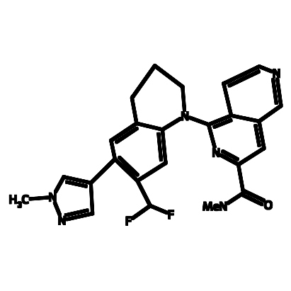 CNC(=O)c1cc2cnccc2c(N2CCCc3cc(-c4cnn(C)c4)c(C(F)F)cc32)n1